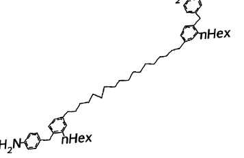 CCCCCCc1cc(CCCCCCCCCCCCCCCCCCc2ccc(Cc3ccc(N)cc3)c(CCCCCC)c2)ccc1Cc1ccc(N)cc1